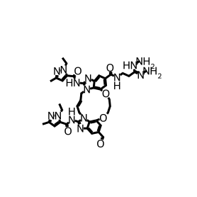 CCn1nc(C)cc1C(=O)Nc1nc2cc(C=O)cc3c2n1C/C=C/Cn1c(NC(=O)c2cc(C)nn2CC)nc2cc(C(=O)NCC/C(=N/N)NN)cc(c21)OCCCO3